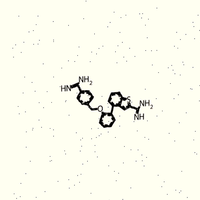 N=C(N)c1ccc(COc2ccccc2-c2cccc3sc(C(=N)N)cc23)cc1